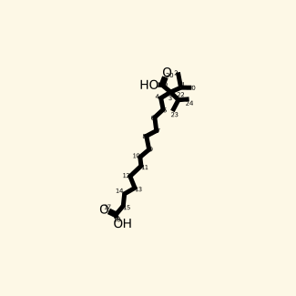 CC(C)C(CCCCCCCCCCCCC(=O)O)(C(=O)O)C(C)C